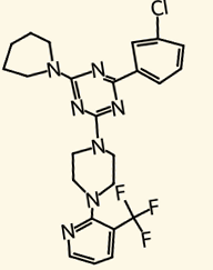 FC(F)(F)c1cccnc1N1CCN(c2nc(-c3cccc(Cl)c3)nc(N3CCCCC3)n2)CC1